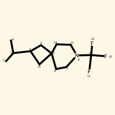 CC(C)C1CC2(CCN(C(F)(F)F)CC2)C1